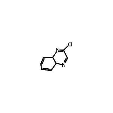 ClC1=NC2C=CC=CC2N=C1